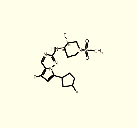 CS(=O)(=O)N1CC[C@@H](Nc2ncc3c(F)cc(C4CCC(F)C4)n3n2)[C@H](F)C1